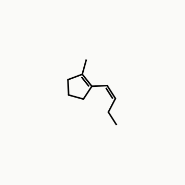 CC/C=C\C1=C(C)CCC1